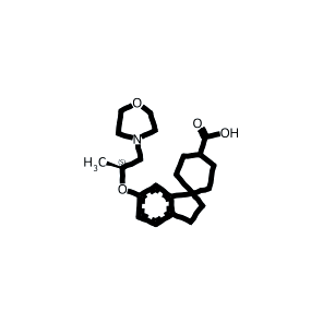 C[C@@H](CN1CCOCC1)Oc1ccc2c(c1)C1(CC2)CCC(C(=O)O)CC1